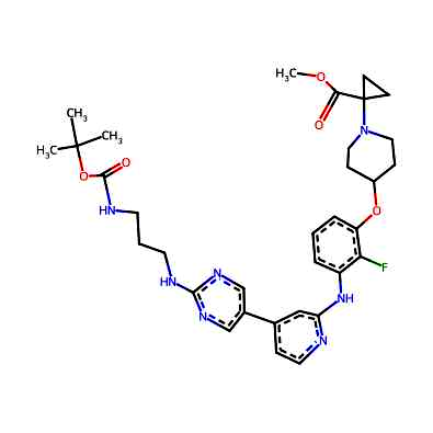 COC(=O)C1(N2CCC(Oc3cccc(Nc4cc(-c5cnc(NCCCNC(=O)OC(C)(C)C)nc5)ccn4)c3F)CC2)CC1